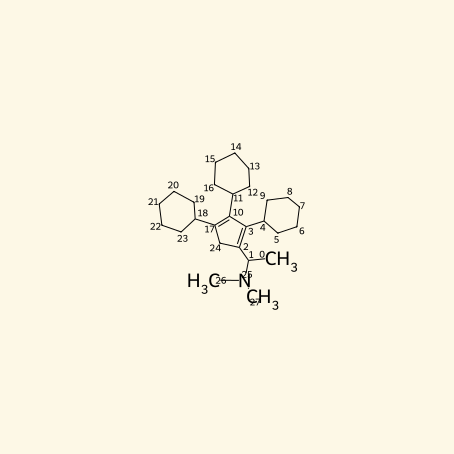 CC(C1=C(C2CCCCC2)C(C2CCCCC2)=C(C2CCCCC2)C1)N(C)C